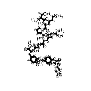 C[C@@H](O)[C@H](N)C(=O)N[C@@H](CCCCN)C(=O)N1CCC[C@H]1C(=O)N[C@@H](CCCNC(=N)N)C(=O)NCC(=O)N[C@@H](Cc1ccc(O)c(NNc2ccc(OP(=O)(O)OCC[N+](C)(C)C)cc2)c1)C(=O)O